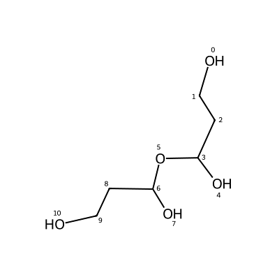 OCCC(O)OC(O)CCO